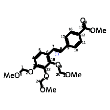 COCOc1ccc(/C=C/c2ccc(C(=O)OC)cc2)c(OCOC)c1OCOC